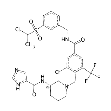 CC(Cl)S(=O)(=O)c1cccc(CNC(=O)c2cc(Cl)c(CN3CCC[C@H](NC(=O)c4cnc[nH]4)C3)c(C(F)(F)F)c2)c1